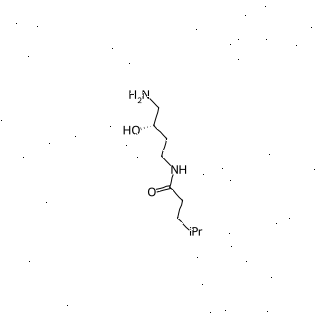 CC(C)CCC(=O)NCC[C@H](O)CN